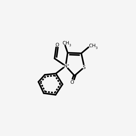 CC1=C(C)[N+](C=O)(c2ccccc2)C(=O)S1